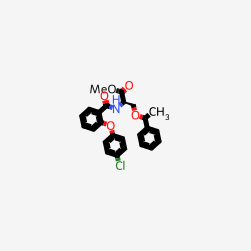 COC(=O)[C@@H](COC(C)c1ccccc1)NC(=O)c1ccccc1Oc1ccc(Cl)cc1